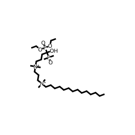 CCCCCCCCCCCCCC[N+](C)(C)CCC[N+](C)(C)CCCC(O)(P(C)(C)=O)P(=O)(OCC)OCC